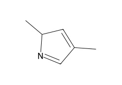 CC1=CC(C)N=C1